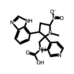 CN1C([N+](=O)[O-])CC(c2cccc3nc[nH]c23)C1(CNC(=O)O)c1ccncc1F